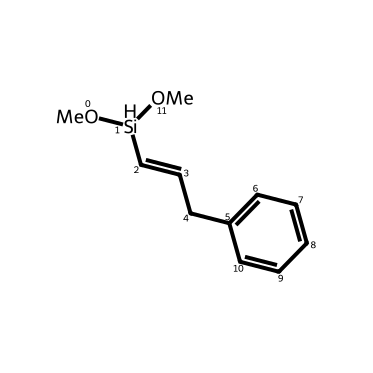 CO[SiH](C=CCc1ccccc1)OC